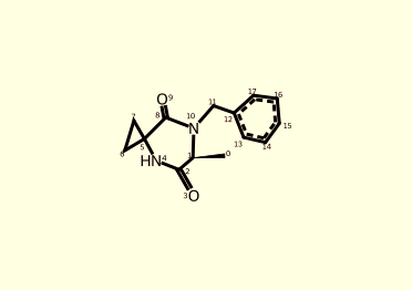 C[C@H]1C(=O)NC2(CC2)C(=O)N1Cc1ccccc1